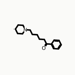 O=C(CCCCCN1CC[CH]CC1)c1ccccc1